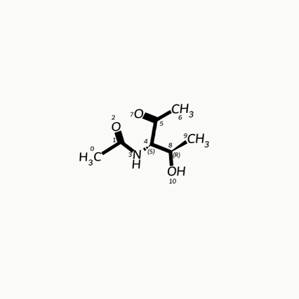 CC(=O)N[C@H](C(C)=O)[C@@H](C)O